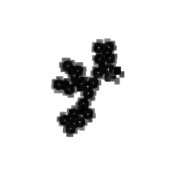 C=Cc1c(/C=C\C)n(-c2ccc3c(c2)C2(c4ccccc4-c4ccccc42)c2ccccc2-3)c2ccc(-c3ccc4c5ccc(-c6ccc7c(c6)c6ccccc6n7-c6ccc7c(c6)C6(c8ccccc8-c8ccccc86)c6ccccc6-7)cc5c5nc6c(-c7cccc8c7sc7ccccc78)sc(-c7cccc8c7sc7ccccc78)c6nc5c4c3)cc12